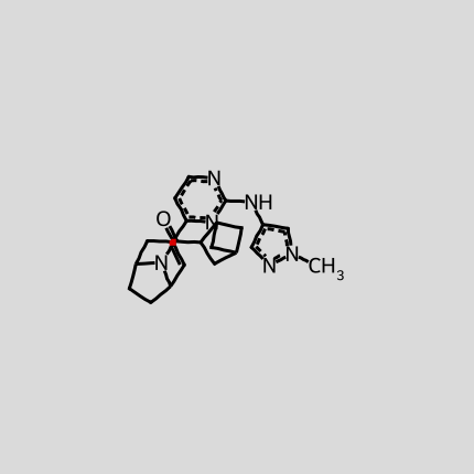 Cn1cc(Nc2nccc(C3=CC4CCC(C3)N4C(=O)C3CC4CC3C4)n2)cn1